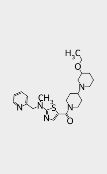 CCOC1CCCN(C2CCN(C(=O)c3cnc(N(C)Cc4ccccn4)s3)CC2)C1